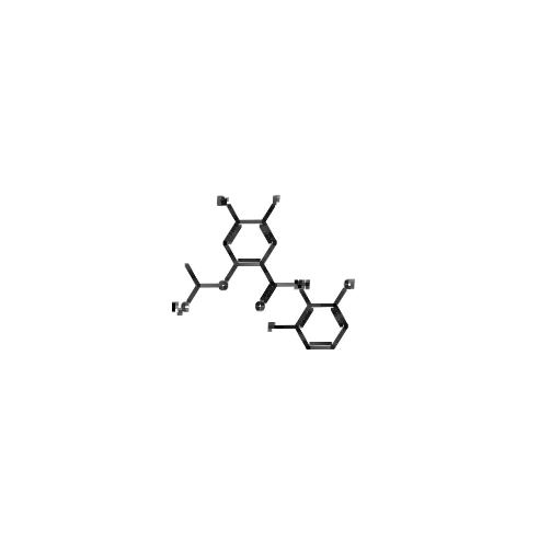 CC(Oc1cc(Br)c(F)cc1C(=O)Nc1c(F)cccc1Cl)C(F)(F)F